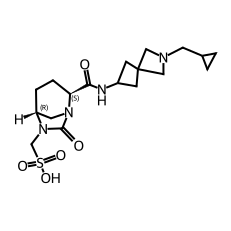 O=C(NC1CC2(C1)CN(CC1CC1)C2)[C@@H]1CC[C@@H]2CN1C(=O)N2CS(=O)(=O)O